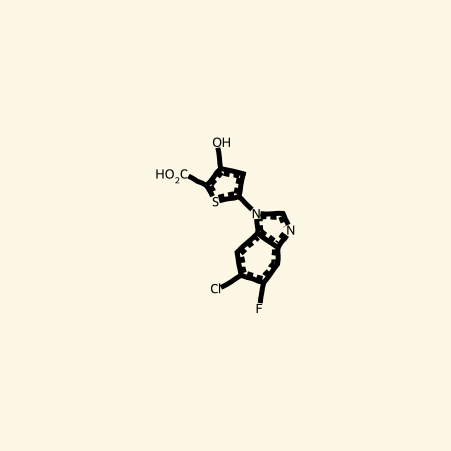 O=C(O)c1sc(-n2cnc3cc(F)c(Cl)cc32)cc1O